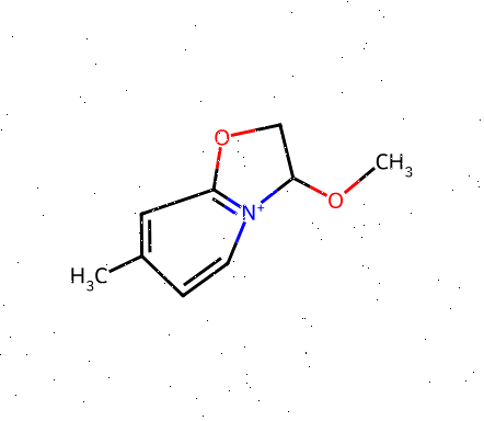 COC1COc2cc(C)cc[n+]21